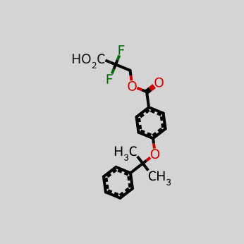 CC(C)(Oc1ccc(C(=O)OCC(F)(F)C(=O)O)cc1)c1ccccc1